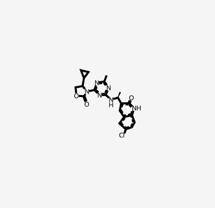 Cc1nc(N[C@@H](C)c2cc3cc(Cl)ccc3[nH]c2=O)nc(N2C(=O)OCC2C2CC2)n1